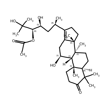 CC(=O)O[C@H]([C@@H](O)C[C@@H](C)C1=C2C[C@H](O)[C@H]3[C@@]4(C)CCC(=O)C(C)(C)[C@@H]4CC[C@]3(C)[C@@]2(C)CC1)C(C)(C)O